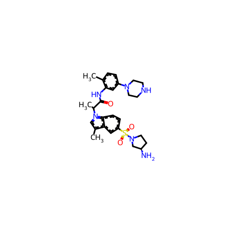 Cc1ccc(N2CCNCC2)cc1NC(=O)C(C)n1cc(C)c2cc(S(=O)(=O)N3CC[C@@H](N)C3)ccc21